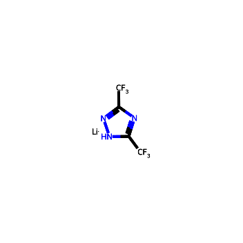 FC(F)(F)c1n[nH]c(C(F)(F)F)n1.[Li]